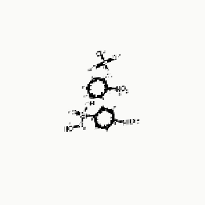 CC(=O)Nc1ccc([As](=O)(O)OO)cc1.O=S(=O)(Cl)Cl.O=[N+]([O-])c1ccccc1